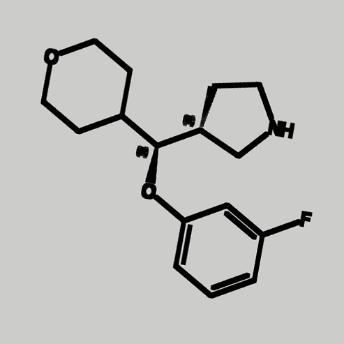 Fc1cccc(O[C@@H](C2CCOCC2)[C@@H]2CCNC2)c1